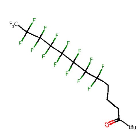 CC(C)(C)C(=O)CCCC(F)(F)C(F)(F)C(F)(F)C(F)(F)C(F)(F)C(F)(F)C(F)(F)C(F)(F)F